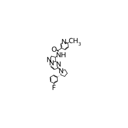 Cc1ccc(C(=O)NC2C=NN3C=CC(N4CCC[C@@H]4c4cccc(F)c4)=NC23)cn1